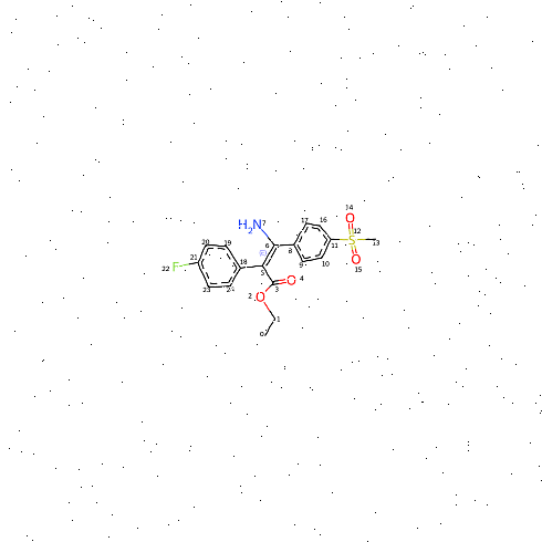 CCOC(=O)/C(=C(/N)c1ccc(S(C)(=O)=O)cc1)c1ccc(F)cc1